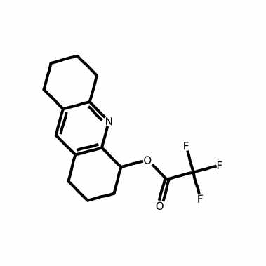 O=C(OC1CCCc2cc3c(nc21)CCCC3)C(F)(F)F